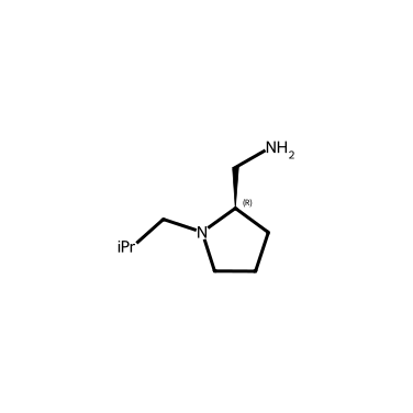 CC(C)CN1CCC[C@@H]1CN